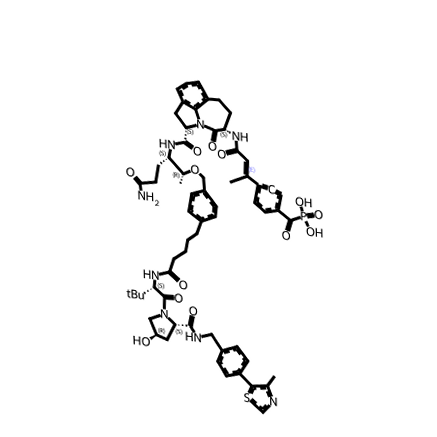 C/C(=C\C(=O)N[C@H]1CCc2cccc3c2N(C1=O)[C@H](C(=O)N[C@@H](CCC(N)=O)[C@@H](C)OCc1ccc(CCCCC(=O)N[C@H](C(=O)N2C[C@H](O)C[C@H]2C(=O)NCc2ccc(-c4scnc4C)cc2)C(C)(C)C)cc1)C3)c1ccc(C(=O)P(=O)(O)O)cc1